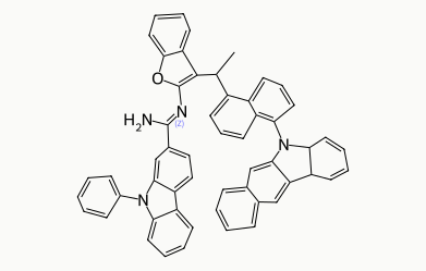 CC(c1c(/N=C(\N)c2ccc3c4ccccc4n(-c4ccccc4)c3c2)oc2ccccc12)c1cccc2c(N3c4cc5ccccc5cc4C4C=CC=CC43)cccc12